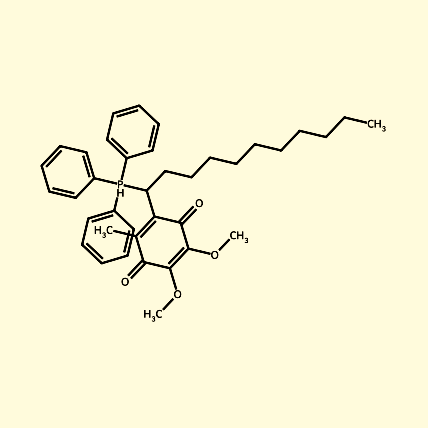 CCCCCCCCCCC(C1=C(C)C(=O)C(OC)=C(OC)C1=O)[PH](c1ccccc1)(c1ccccc1)c1ccccc1